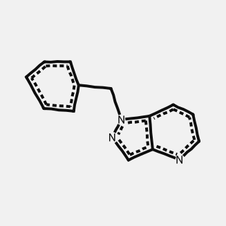 c1ccc(Cn2ncc3ncccc32)cc1